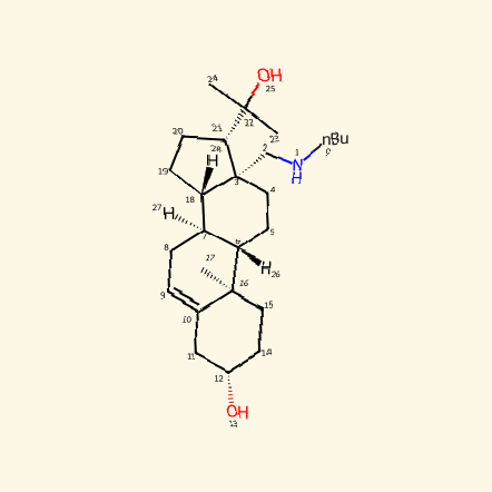 CCCCNC[C@]12CC[C@H]3[C@@H](CC=C4C[C@@H](O)CC[C@@]43C)[C@@H]1CC[C@@H]2C(C)(C)O